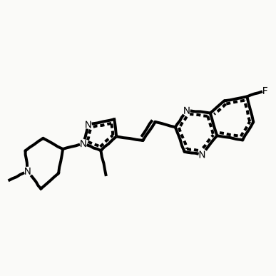 Cc1c(/C=C/c2cnc3ccc(F)cc3n2)cnn1C1CCN(C)CC1